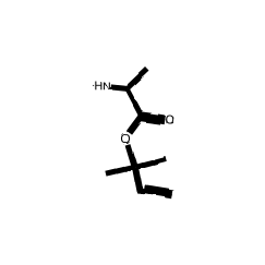 C=CC(C)(C)OC(=O)C(C)[NH]